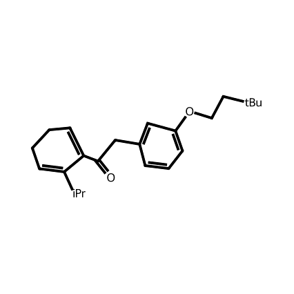 CC(C)C1=CCCC=C1C(=O)Cc1cccc(OCCC(C)(C)C)c1